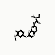 CCN(S)C(=O)Nc1ccc2ncc(Nc3ccc(C)c(OC)c3)nc2n1